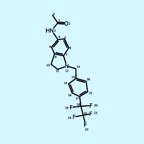 CC(=O)Nc1ccc2c(c1)CCN2Cc1ccc(C(F)(F)C(F)(F)F)cc1